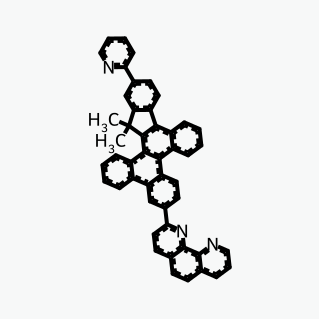 CC1(C)c2cc(-c3ccccn3)ccc2-c2c1c1c3ccccc3c3cc(-c4ccc5ccc6cccnc6c5n4)ccc3c1c1ccccc21